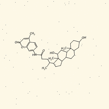 Cc1cc(=O)oc2cc(NC(=O)CCC(C)C3CCC4C5CCC6CC(O)CCC6(C)C5CC(O)C34C)ccc12